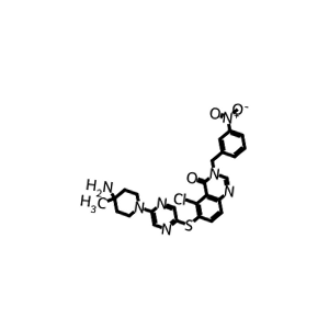 CC1(N)CCN(c2cnc(Sc3ccc4ncn(Cc5cccc([N+](=O)[O-])c5)c(=O)c4c3Cl)cn2)CC1